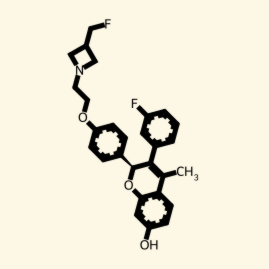 CC1=C(c2cccc(F)c2)[C@H](c2ccc(OCCN3CC(CF)C3)cc2)Oc2cc(O)ccc21